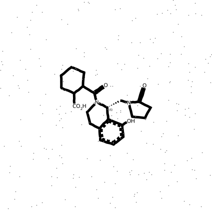 O=C(O)C1CCCCC1C(=O)N1CCc2cccc(O)c2[C@H]1CN1CCCC1=O